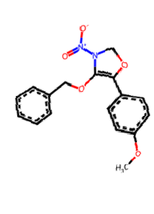 COc1ccc(C2=C(OCc3ccccc3)N([N+](=O)[O-])CO2)cc1